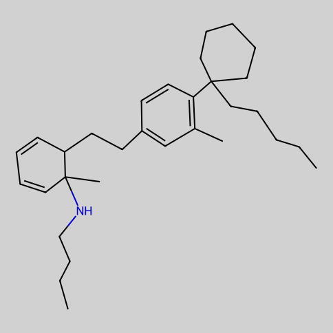 CCCCCC1(c2ccc(CCC3C=CC=CC3(C)NCCCC)cc2C)CCCCC1